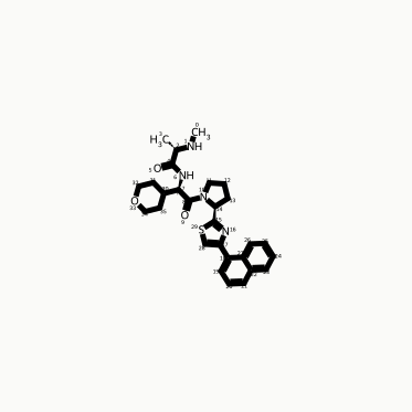 CN[C@@H](C)C(=O)N[C@@H](C(=O)N1CCC[C@H]1c1nc(-c2cccc3ccccc23)cs1)C1CCOCC1